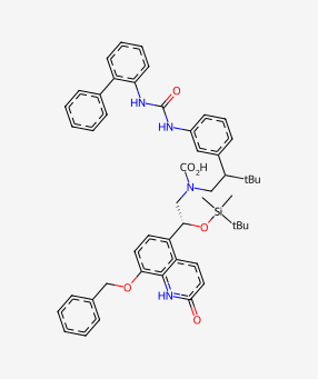 CC(C)(C)C(CN(C[C@H](O[Si](C)(C)C(C)(C)C)c1ccc(OCc2ccccc2)c2[nH]c(=O)ccc12)C(=O)O)c1cccc(NC(=O)Nc2ccccc2-c2ccccc2)c1